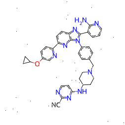 N#Cc1nccc(NC2CCN(Cc3ccc(-n4c(-c5cccnc5N)nc5ccc(-c6ccc(OC7CC7)cn6)nc54)cc3)CC2)n1